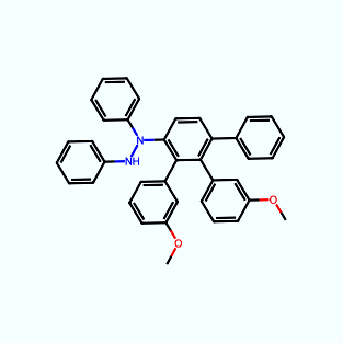 COc1cccc(-c2c(-c3ccccc3)ccc(N(Nc3ccccc3)c3ccccc3)c2-c2cccc(OC)c2)c1